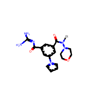 CCN(C(=O)c1cc(C(=O)N=C(N)N)cc(-n2cccc2)c1)N1CCOCC1